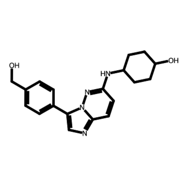 OCc1ccc(-c2cnc3ccc(NC4CCC(O)CC4)nn23)cc1